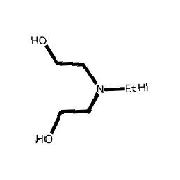 CCN(CCO)CCO.I